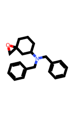 c1ccc(CN(Cc2ccccc2)C2CCCC3(CO3)C2)cc1